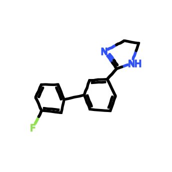 Fc1cccc(-c2cccc(C3=NCCN3)c2)c1